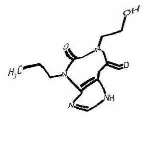 CCCn1c(=O)n(CCO)c(=O)c2[nH]cnc21